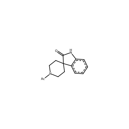 CC(=O)N1CCC2(CC1)C(=O)Nc1ccccc12